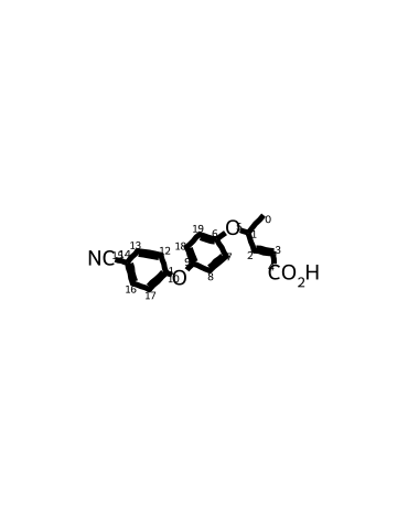 CC(C=CC(=O)O)Oc1ccc(Oc2ccc(C#N)cc2)cc1